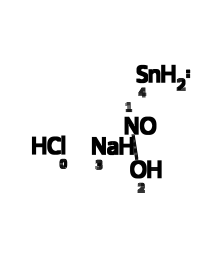 Cl.O=NO.[NaH].[SnH2]